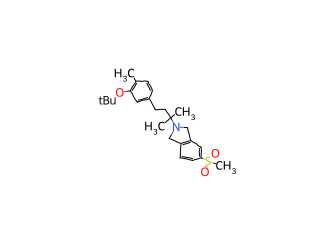 Cc1ccc(CCC(C)(C)N2Cc3ccc(S(C)(=O)=O)cc3C2)cc1OC(C)(C)C